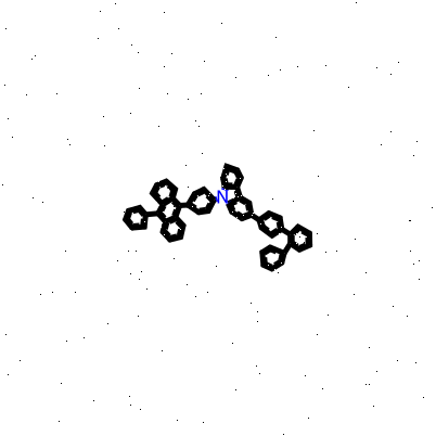 c1ccc(-c2ccccc2-c2ccc(-c3ccc4c(c3)c3ccccc3n4-c3ccc(-c4c5ccccc5c(-c5ccccc5)c5ccccc45)cc3)cc2)cc1